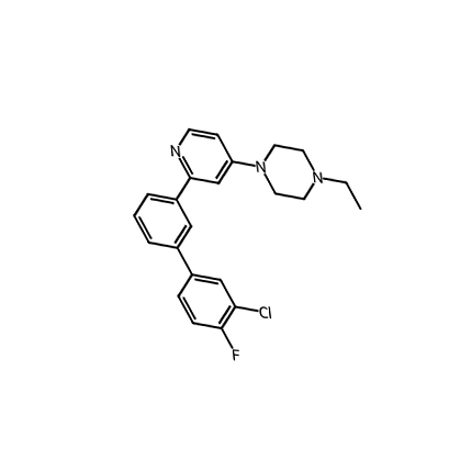 CCN1CCN(c2ccnc(-c3cccc(-c4ccc(F)c(Cl)c4)c3)c2)CC1